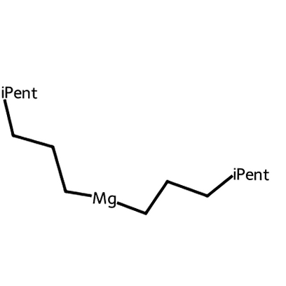 CCCC(C)CC[CH2][Mg][CH2]CCC(C)CCC